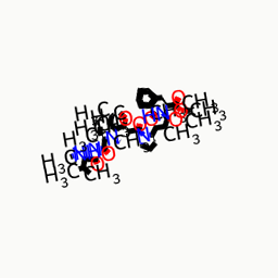 CC[C@H](C)[C@@H]([C@@H](CC(=O)N1CCC[C@H]1[C@H](OC)[C@@H](C)C(=O)N[C@@H](Cc1ccccc1)C(=O)OC(C)(C)C)OC)N(C)[C@H](C(=O)NC(=O)[C@@H](NC)C(C)C)C(C)C